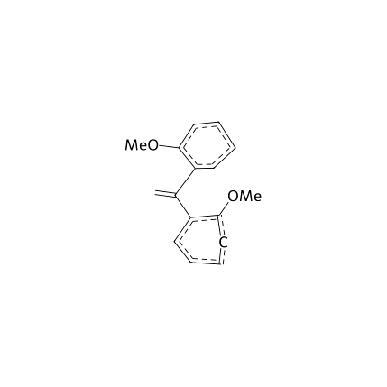 C=C(c1ccccc1OC)c1ccccc1OC